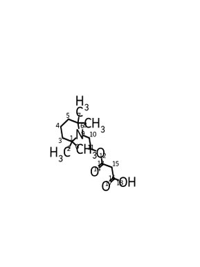 CC1(C)CCCC(C)(C)N1CCOC(=O)CC(=O)O